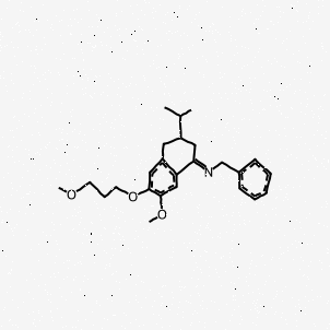 COCCCOc1cc2c(cc1OC)C(=NCc1ccccc1)CC(C(C)C)C2